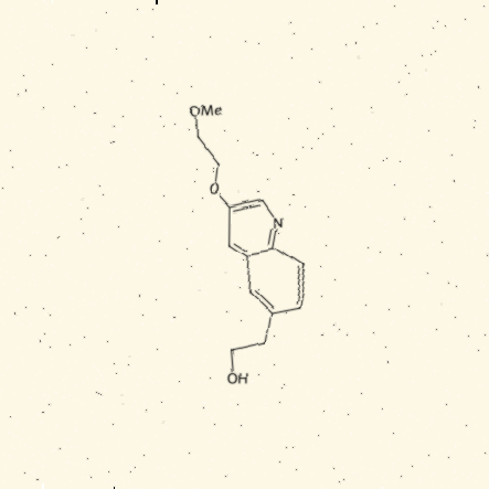 COCCOc1cnc2ccc(CCO)cc2c1